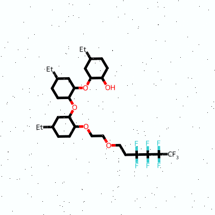 CCC1CCC(O)C(OC2CC(CC)CCC2OC2CC(CC)CCC2OCCOCCC(F)(F)C(F)(F)C(F)(F)C(F)(F)F)C1